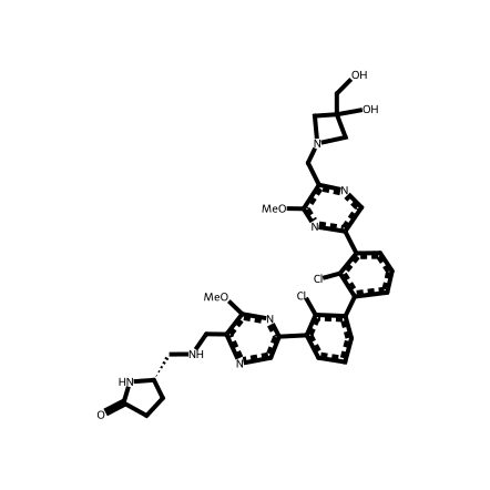 COc1nc(-c2cccc(-c3cccc(-c4cnc(CN5CC(O)(CO)C5)c(OC)n4)c3Cl)c2Cl)cnc1CNC[C@@H]1CCC(=O)N1